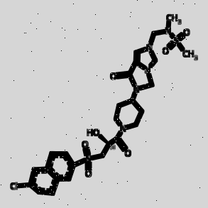 CN(CN1C=C2C(=O)N(C3CCN(C(=O)[C@H](O)CS(=O)(=O)c4ccc5cc(Cl)ccc5c4)CC3)CN2C1)S(C)(=O)=O